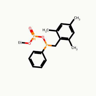 CCO[PH](=O)OP(Cc1c(C)cc(C)cc1C)c1ccccc1